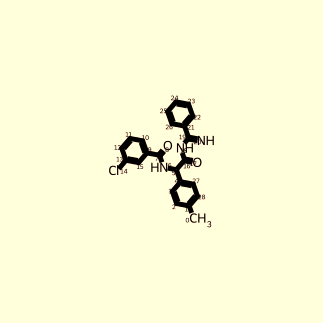 Cc1ccc(C(NC(=O)c2cccc(Cl)c2)C(=O)NC(=N)c2ccccc2)cc1